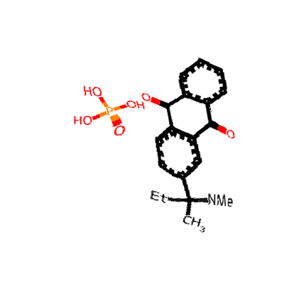 CCC(C)(NC)c1ccc2c(c1)C(=O)c1ccccc1C2=O.O=P(O)(O)O